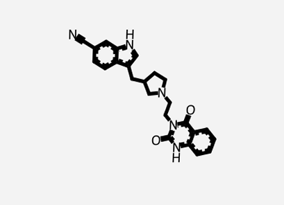 N#Cc1ccc2c(CC3CCN(CCn4c(=O)[nH]c5ccccc5c4=O)C3)c[nH]c2c1